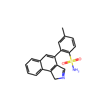 Cc1ccc(S(N)(=O)=O)c(-c2cc3ccccc3c3c2C=NC3)c1